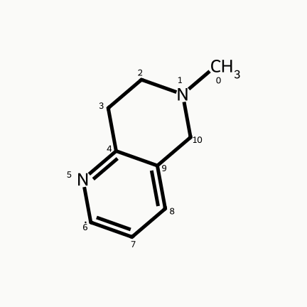 CN1CCc2n[c]ccc2C1